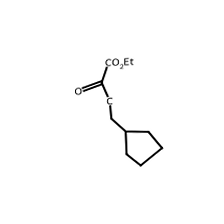 CCOC(=O)C(=O)CCC1CCCC1